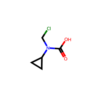 O=C(O)N(CCl)C1CC1